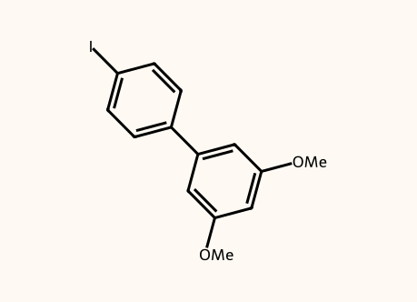 COc1cc(OC)cc(-c2ccc(I)cc2)c1